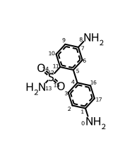 Nc1ccc(-c2cc(N)ccc2S(N)(=O)=O)cc1